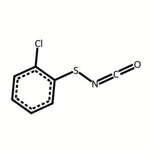 O=C=NSc1ccccc1Cl